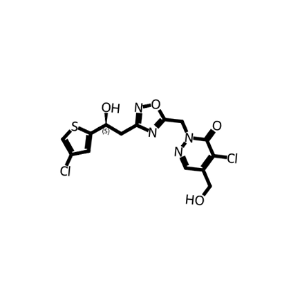 O=c1c(Cl)c(CO)cnn1Cc1nc(C[C@H](O)c2cc(Cl)cs2)no1